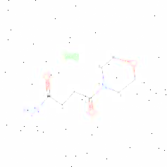 Cl.NC(=O)CCC(=O)N1CCOCC1